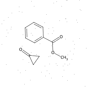 COC(=O)c1ccccc1.O=C1CC1